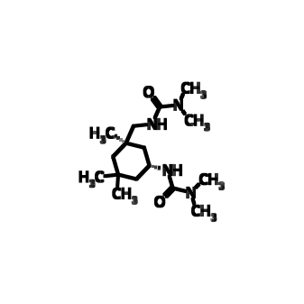 CN(C)C(=O)NC[C@@]1(C)C[C@H](NC(=O)N(C)C)CC(C)(C)C1